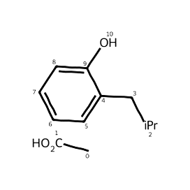 CC(=O)O.CC(C)Cc1ccccc1O